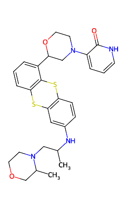 CC(CN1CCOCC1C)Nc1ccc2c(c1)Sc1cccc(C3CN(c4ccc[nH]c4=O)CCO3)c1S2